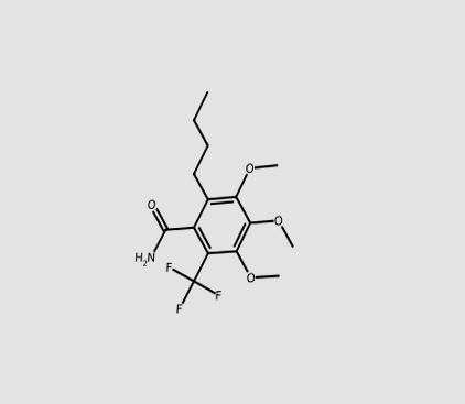 CCCCc1c(OC)c(OC)c(OC)c(C(F)(F)F)c1C(N)=O